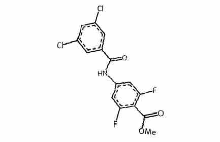 COC(=O)c1c(F)cc(NC(=O)c2cc(Cl)cc(Cl)c2)cc1F